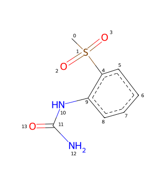 CS(=O)(=O)c1ccccc1NC(N)=O